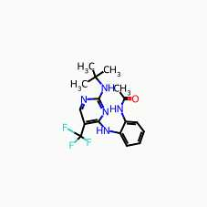 CC(=O)Nc1ccccc1Nc1nc(NC(C)(C)C)ncc1C(F)(F)F